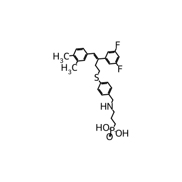 Cc1ccc(/C=C(\CCSc2ccc(CNCCCP(=O)(O)O)cc2)c2cc(F)cc(F)c2)cc1C